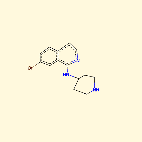 Brc1ccc2ccnc(NC3CCNCC3)c2c1